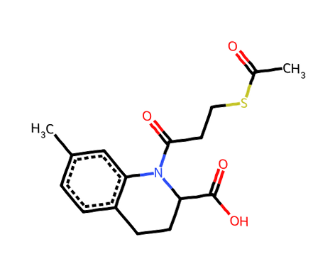 CC(=O)SCCC(=O)N1c2cc(C)ccc2CCC1C(=O)O